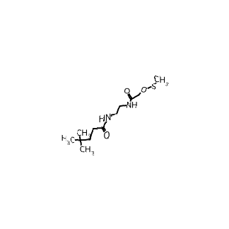 CSOCC(=O)NCCNC(=O)CCC(C)(C)C